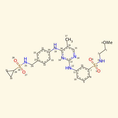 COCCNS(=O)(=O)c1cccc(Nc2ncc(C)c(Nc3ccc(CNS(=O)(=O)C4CC4)cc3)n2)c1